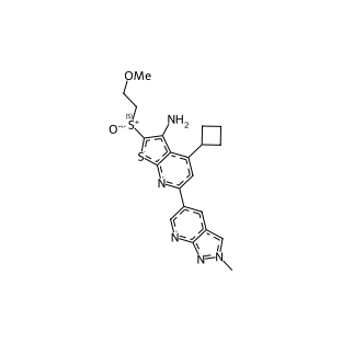 COCC[S@@+]([O-])c1sc2nc(-c3cnc4nn(C)cc4c3)cc(C3CCC3)c2c1N